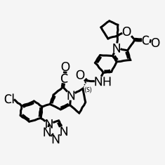 O=C=C1OC2(CCCC2)n2c1cc1cc(NC(=O)[C@@H]3CCC4=CC(c5cc(Cl)ccc5-n5cnnn5)=CC(=C=O)N43)ccc12